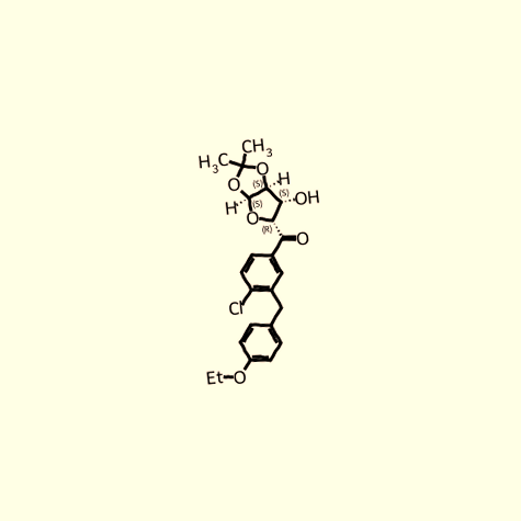 CCOc1ccc(Cc2cc(C(=O)[C@@H]3O[C@H]4OC(C)(C)O[C@H]4[C@@H]3O)ccc2Cl)cc1